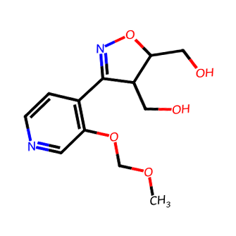 COCOc1cnccc1C1=NOC(CO)C1CO